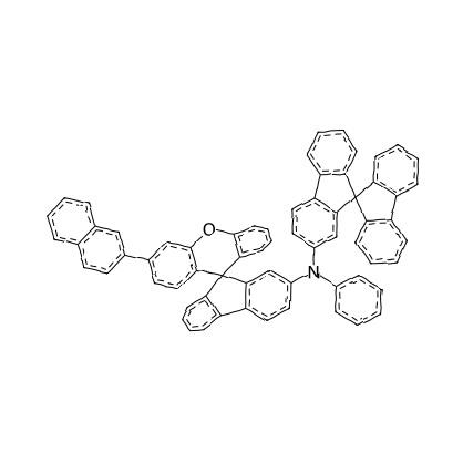 c1ccc(N(c2ccc3c(c2)C2(c4ccccc4Oc4cc(-c5ccc6ccccc6c5)ccc42)c2ccccc2-3)c2ccc3c(c2)C2(c4ccccc4-c4ccccc42)c2ccccc2-3)cc1